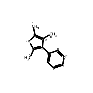 Cc1sc(C)c(-c2cccnc2)c1C